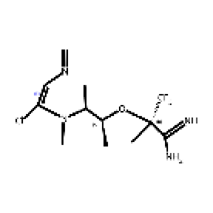 C=N/C=C(/Cl)N(C)C(C)[C@H](C)O[C@](C)(C(=N)N)C(F)(F)F